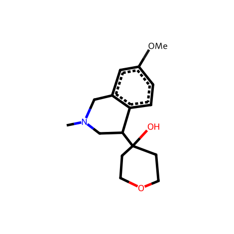 COc1ccc2c(c1)CN(C)CC2C1(O)CCOCC1